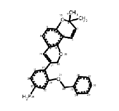 CC1(C)C=Cc2c(ccc3c2OCC(c2ccc(P)cc2OCc2ccccc2)=C3)O1